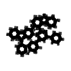 c1ccc(-c2cc(-c3ccccc3)nc(-c3c(-c4ccc5c(c4)c4ccccc4n5-c4ccccc4)ccc4sc5ccccc5c34)n2)cc1